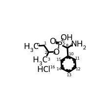 CCC(C)O[P@@](=O)(O)C(N)c1ccccc1.Cl